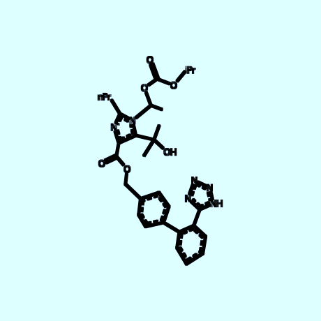 CCCc1nc(C(=O)OCc2ccc(-c3ccccc3-c3nnn[nH]3)cc2)c(C(C)(C)O)n1C(C)OC(=O)OC(C)C